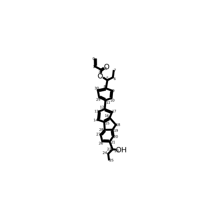 C=CC(=O)OC(CC)c1ccc(-c2ccc3c(c2)Cc2cc(C(O)CC)ccc2-3)cc1